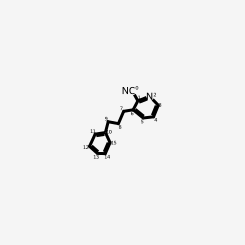 N#Cc1ncccc1CCCc1ccccc1